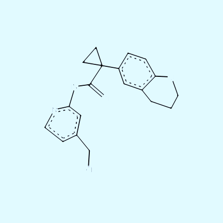 CCc1ccnc(NC(=O)C2(c3ccc4c(c3)CCCO4)CC2)c1